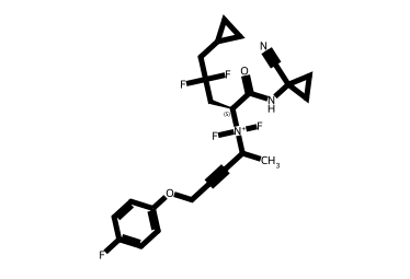 CC(C#CCOc1ccc(F)cc1)[N+](F)(F)[C@@H](CC(F)(F)CC1CC1)C(=O)NC1(C#N)CC1